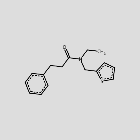 CCN(Cc1cccs1)C(=O)CCc1ccccc1